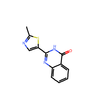 Cc1ncc(-c2nc3ccccc3c(=O)[nH]2)s1